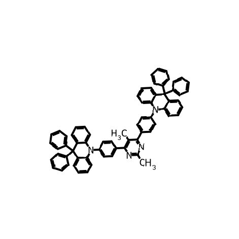 Cc1nc(-c2ccc(N3c4ccccc4C(c4ccccc4)(c4ccccc4)c4ccccc43)cc2)c(C)c(-c2ccc(N3c4ccccc4C(c4ccccc4)(c4ccccc4)c4ccccc43)cc2)n1